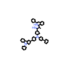 C/C(C(=N)c1ccc(N(c2ccc(-c3ccccc3)cc2)c2ccc(-c3ccc4c(c3)c3ccccc3n4-c3ccccc3)cc2)cc1)=C1/NC(c2ccccc2)=Cc2ccccc21